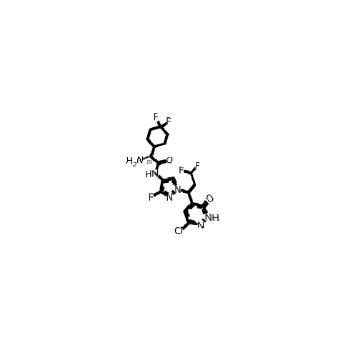 N[C@H](C(=O)Nc1cn(C(CC(F)F)c2cc(Cl)n[nH]c2=O)nc1F)C1CCC(F)(F)CC1